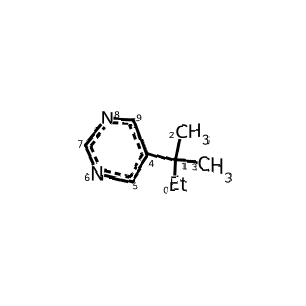 CCC(C)(C)c1cncnc1